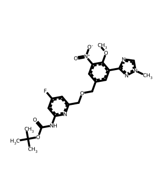 COc1c(-c2ncn(C)n2)cc(COCc2cc(F)cc(NC(=O)OC(C)(C)C)n2)cc1[N+](=O)[O-]